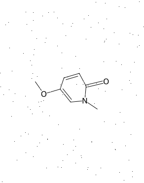 COc1ccc(=O)n(C)c1